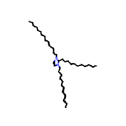 CCCCCCCCCCCCCCN1C=CN(CCCCCCCCCCCC)C1CCCCCCCCCCC